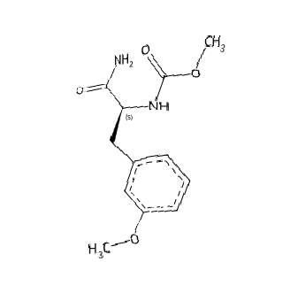 COC(=O)N[C@@H](Cc1cccc(OC)c1)C(N)=O